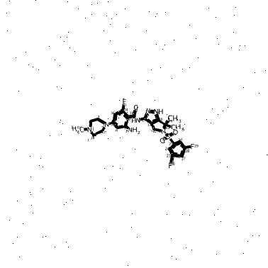 CN1CCN(c2cc(N)c(C(=O)Nc3n[nH]c4c3CN(S(=O)(=O)c3cc(F)cc(F)c3)C4(C)C)c(F)c2)CC1